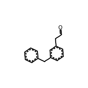 O=CCc1cccc(Cc2ccccc2)c1